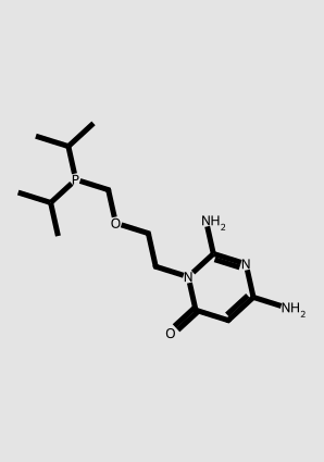 CC(C)P(COCCn1c(N)nc(N)cc1=O)C(C)C